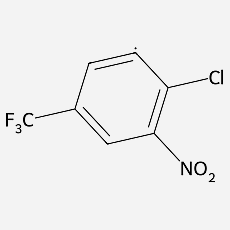 O=[N+]([O-])c1cc(C(F)(F)F)c[c]c1Cl